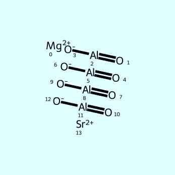 [Mg+2].[O]=[Al][O-].[O]=[Al][O-].[O]=[Al][O-].[O]=[Al][O-].[Sr+2]